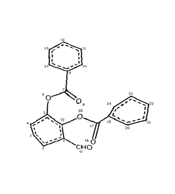 O=Cc1cccc(OC(=O)c2ccccc2)c1OC(=O)c1ccccc1